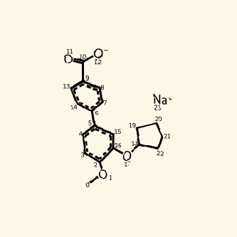 COc1ccc(-c2ccc(C(=O)[O-])cc2)cc1OC1CCCC1.[Na+]